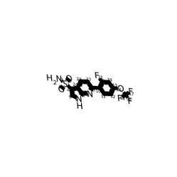 NS(=O)(=O)c1c[nH]c2nc(-c3ccc(OC(F)(F)F)cc3F)ccc12